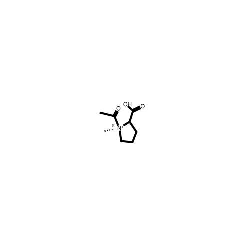 CC(=O)[N@+]1(C)CCCC1C(=O)O